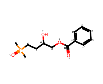 CP(C)(=O)CCC(O)COC(=O)c1ccccc1